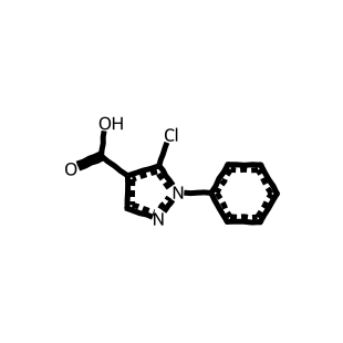 O=C(O)c1cnn(-c2ccccc2)c1Cl